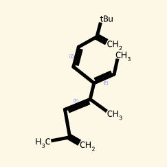 C=C(C)/C=C(C)/C(/C=C\C(=C)C(C)(C)C)=C/C